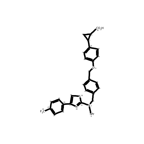 CCCN(Cc1ccc(COc2ccc(C3CC3C(=O)O)cc2)cc1)c1nc(-c2ccc(C(F)(F)F)cc2)cs1